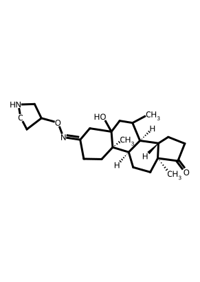 CC1CC2(O)CC(=NOC3CCNC3)CC[C@]2(C)[C@@H]2CC[C@]3(C)C(=O)CC[C@H]3[C@H]12